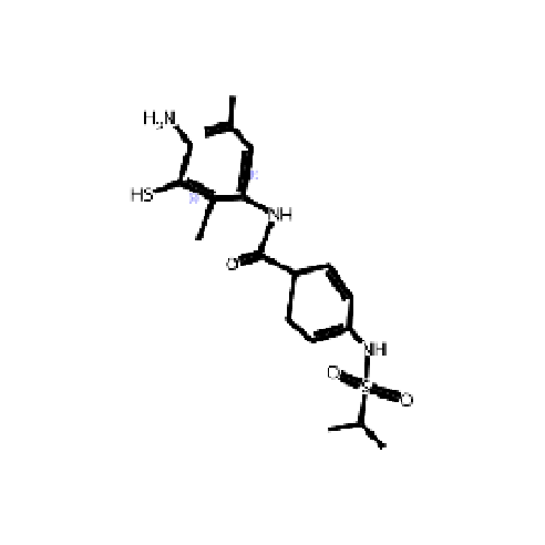 C=C(C)/C=C(NC(=O)C1C=CC(NS(=O)(=O)C(C)C)=CC1)\C(C)=C(\S)CN